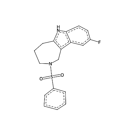 O=S(=O)(c1ccccc1)N1CCCc2[nH]c3ccc(F)cc3c2C1